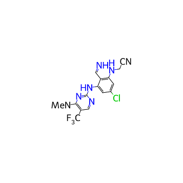 CNc1nc(Nc2cc(Cl)cc(NCC#N)c2C=N)ncc1C(F)(F)F